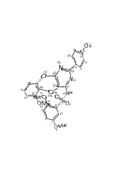 COc1ccc(OC)c(S(=O)(=O)Nc2nc(-c3cc[n+]([O-])cc3)nc(Cl)c2Oc2ccccc2OC)c1